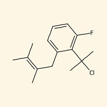 CC(C)=C(C)Cc1cccc(F)c1C(C)(C)Cl